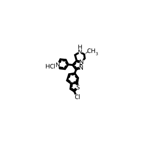 C[C@@H]1Cn2nc(-c3ccc4cc(Cl)sc4c3)c(-c3ccncc3)c2CN1.Cl